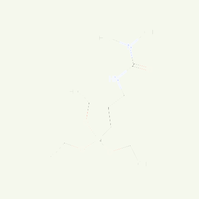 CCO[Si](CCCNC(=O)N(C)C)(OCC)OCC